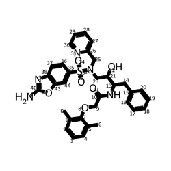 Cc1cccc(C)c1OCC(=O)NC(Cc1ccccc1)C(O)CN(Cc1ccccn1)S(=O)(=O)c1ccc2nc(N)oc2c1